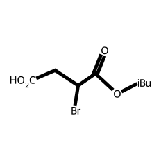 CCC(C)OC(=O)C(Br)CC(=O)O